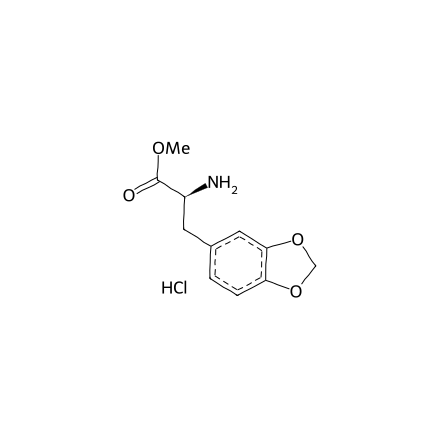 COC(=O)[C@@H](N)Cc1ccc2c(c1)OCO2.Cl